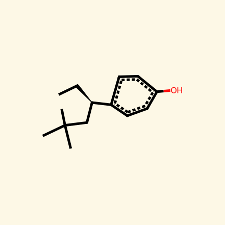 CC[C@H](CC(C)(C)C)c1ccc(O)cc1